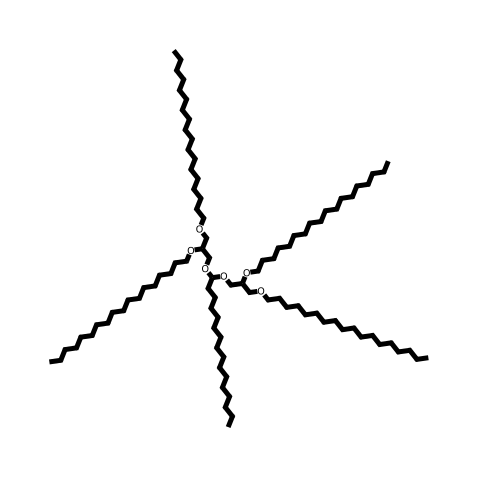 CCCCCCCCCCCCCCCCCCOCC(COC(CCCCCCCCCCCCCCC)OCC(COCCCCCCCCCCCCCCCCCC)OCCCCCCCCCCCCCCCCCC)OCCCCCCCCCCCCCCCCCC